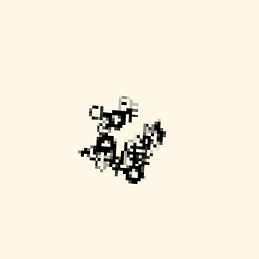 CCOc1cc(Oc2ccc(C(F)(F)F)cc2Cl)ccc1[N+](=O)[O-].Cc1ccn2nc(S(=O)(=O)Nc3c(F)cccc3F)nc2n1